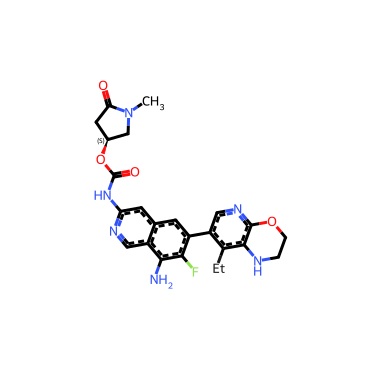 CCc1c(-c2cc3cc(NC(=O)O[C@H]4CC(=O)N(C)C4)ncc3c(N)c2F)cnc2c1NCCO2